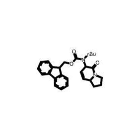 CCCCN(C(=O)OCC1c2ccccc2-c2ccccc21)C1C=CC2CCCN2C1=O